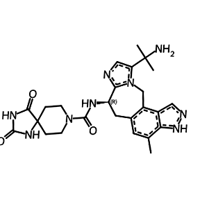 Cc1cc2c(c3cn[nH]c13)Cn1c(C(C)(C)N)cnc1[C@H](NC(=O)N1CCC3(CC1)NC(=O)NC3=O)C2